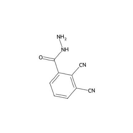 N#Cc1cccc(C(=O)NN)c1C#N